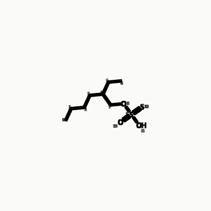 CCCCC(CC)COS(=O)(O)=S